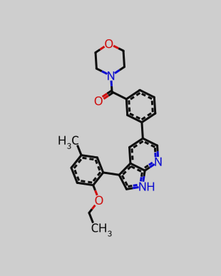 CCOc1ccc(C)cc1-c1c[nH]c2ncc(-c3cccc(C(=O)N4CCOCC4)c3)cc12